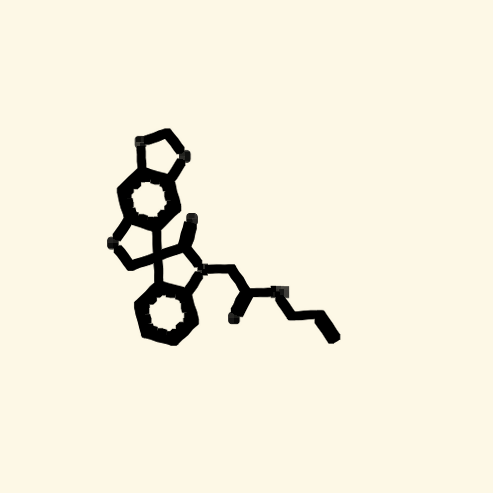 C=CCNC(=O)CN1C(=O)C2(COc3cc4c(cc32)OCO4)c2ccccc21